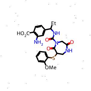 CCC(NC(=O)N1CC(=O)NCC(Sc2ccccc2OC)C1=O)c1ccc(C(=O)O)c(N)c1